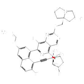 COCOc1cc(-c2nc(N3CC[C@@H](F)[C@@H]3C)c3cnc(OC[C@@]45CCCN4C[C@H](F)C5)nc3c2F)c2c(C#C[Si](C(C)C)(C(C)C)C(C)C)c(F)ccc2c1